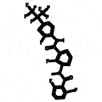 CN(C(=O)c1c(F)cccc1F)c1cccc(C(=O)N(I)c2ccc(C(F)(C(F)(F)F)C(F)(F)F)cc2I)c1F